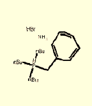 Br.CCCC[PH](CCCC)(CCCC)Cc1ccccc1.N